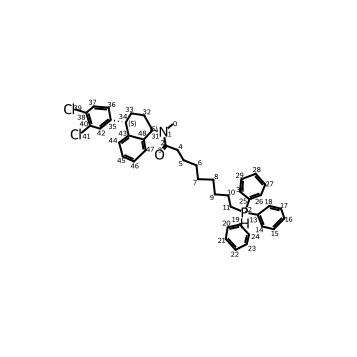 CN(C(=O)CCCCCCCC[PH](c1ccccc1)(c1ccccc1)c1ccccc1)[C@H]1CC[C@@H](c2ccc(Cl)c(Cl)c2)c2ccccc21